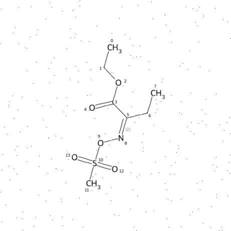 CCOC(=O)/C(CC)=N\OS(C)(=O)=O